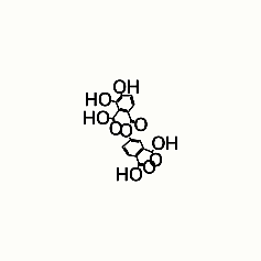 O=C(O)c1ccc(OC(=O)c2ccc(O)c(O)c2C(=O)O)cc1C(=O)O